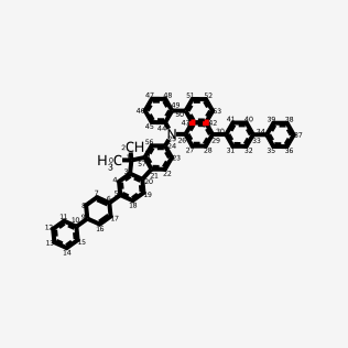 CC1(C)c2cc(C3=CCC(c4ccccc4)C=C3)ccc2-c2ccc(N(c3ccc(-c4ccc(-c5ccccc5)cc4)cc3)c3ccccc3-c3ccccc3)cc21